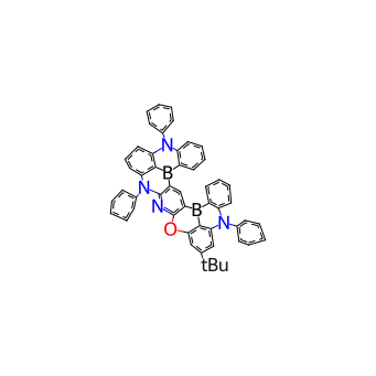 CC(C)(C)c1cc2c3c(c1)N(c1ccccc1)c1ccccc1B3c1cc3c(nc1O2)N(c1ccccc1)c1cccc2c1B3c1ccccc1N2c1ccccc1